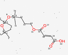 C[Si](C)(C)O[Si](C)(C)O[Si](C)(C)CCCOC(=O)C=CC(=O)O